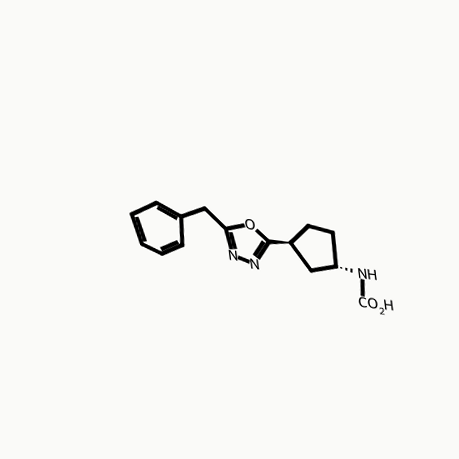 O=C(O)N[C@H]1CC[C@H](c2nnc(Cc3ccccc3)o2)C1